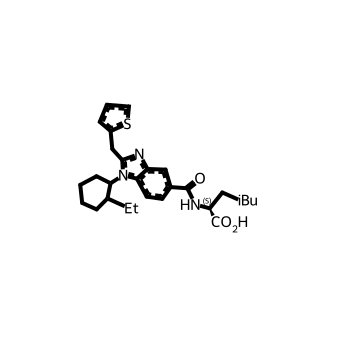 CCC(C)C[C@H](NC(=O)c1ccc2c(c1)nc(Cc1cccs1)n2C1CCCCC1CC)C(=O)O